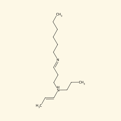 CC=C[SiH](CCC)CCC=NCCCCCC